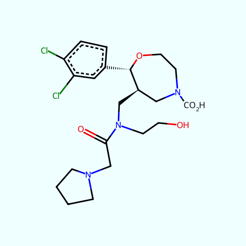 O=C(O)N1CCO[C@@H](c2ccc(Cl)c(Cl)c2)[C@H](CN(CCO)C(=O)CN2CCCC2)C1